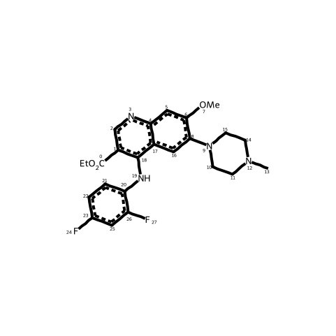 CCOC(=O)c1cnc2cc(OC)c(N3CCN(C)CC3)cc2c1Nc1ccc(F)cc1F